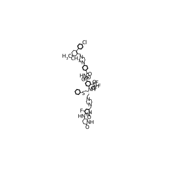 CC1(C)CCC(c2ccc(Cl)cc2)=C(CN2CCN(c3ccc(C(=O)NS(=O)(=O)c4ccc(N[C@H](CCN5CCN(Cc6cc(F)c(NC7CCC(=O)NC7=O)nn6)CC5)CSc5ccccc5)c(S(=O)(=O)C(F)(F)F)c4)cc3)CC2)C1